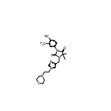 CC1(C)C(=O)N(c2ccc(C#N)c(C(F)(F)F)c2)C(=S)N1Cc1cn(CCN2CCOCC2)cn1